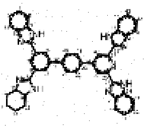 c1ccc2[nH]c(-c3cc(C4=NC5CCCCC5N4)cc(-c4ccc(-c5cc(-c6nc7ccccc7[nH]6)nc(-c6nc7ccccc7[nH]6)c5)cc4)c3)nc2c1